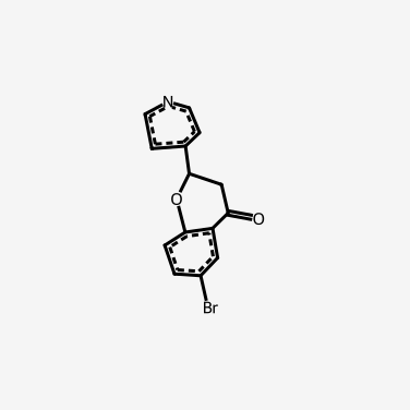 O=C1CC(c2ccncc2)Oc2ccc(Br)cc21